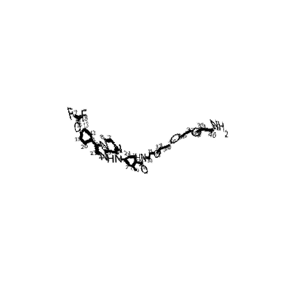 Cc1cc(Nc2nccn3c(-c4ccc(OC(F)F)cc4)cnc23)ccc1C(=O)NCCOCCOCCOCCN